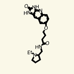 CCN1CCCC1CNC(=O)CCCOc1ccc2nc3[nH]c(=O)[nH]c3cc2c1